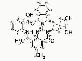 Cc1cc(C(C)Nc2ccccc2C(=O)O)c2nc(N3Cc4ccccc4C3)n(C3CC(CO)(CO)C3)c(=O)c2c1